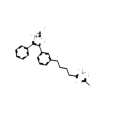 CCn1nc(-c2ccccc2)c(-c2cccc(CCCCc3nnc(C(C)C)o3)c2)n1